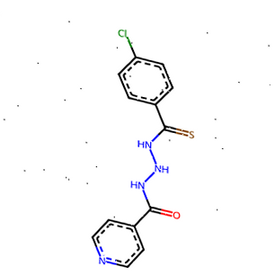 O=C(NNNC(=S)c1ccc(Cl)cc1)c1ccncc1